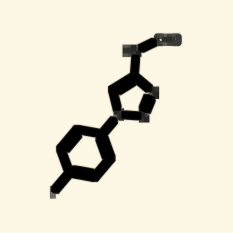 O=CNc1cn(-c2ccc(I)cc2)nn1